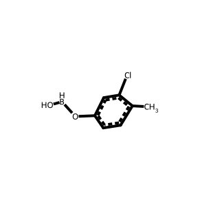 Cc1ccc(OBO)cc1Cl